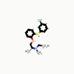 C[C@H](COc1ccccc1Sc1cccc(Cl)c1)N(C)CC(=O)O